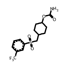 NC(=O)OC1CCC(CS(=O)(=O)c2cccc(C(F)(F)F)c2)CC1